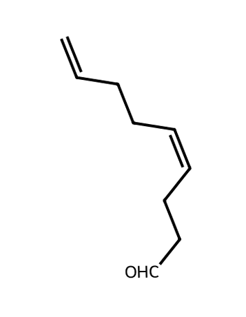 C=CCC/C=C\CCC=O